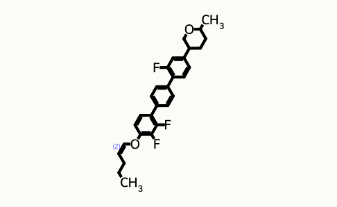 CCC/C=C\Oc1ccc(-c2ccc(-c3ccc(C4CCC(C)OC4)cc3F)cc2)c(F)c1F